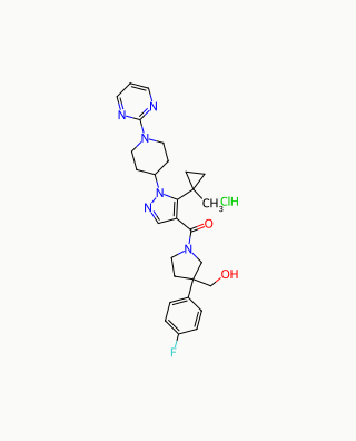 CC1(c2c(C(=O)N3CCC(CO)(c4ccc(F)cc4)C3)cnn2C2CCN(c3ncccn3)CC2)CC1.Cl